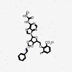 CCNC(=O)Nc1ncnc2c1ncn2C1OC(COc2c(F)cccc2C(=O)O)C2O[C@H](/C=C/c3ccccc3)OC21